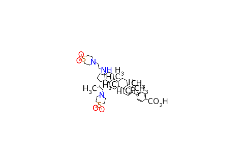 CC(CN1CCS(=O)(=O)CC1)[C@@H]1CC[C@]2(NCCN3CCS(=O)(=O)CC3)CC[C@]3(C)[C@H](CC[C@@H]4[C@@]5(C)CC=C(c6ccc(C(=O)O)cc6)C(C)(C)[C@@H]5CC[C@]43C)[C@@H]12